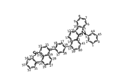 c1ccc(-n2c3ccccc3c3ccc4c(-c5ccc(-c6ccc7c8c(cccc68)-c6ccccc6S7)cc5)cccc4c32)cc1